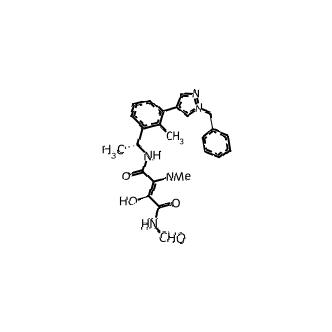 CN/C(C(=O)N[C@H](C)c1cccc(-c2cnn(Cc3ccccc3)c2)c1C)=C(/O)C(=O)NC=O